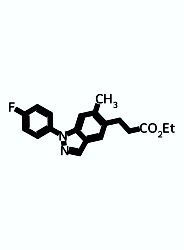 CCOC(=O)CCc1cc2cnn(-c3ccc(F)cc3)c2cc1C